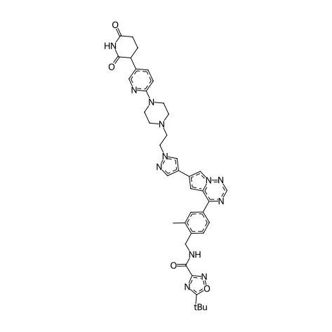 Cc1cc(-c2ncnn3cc(-c4cnn(CCN5CCN(c6ccc(C7CCC(=O)NC7=O)cn6)CC5)c4)cc23)ccc1CNC(=O)c1noc(C(C)(C)C)n1